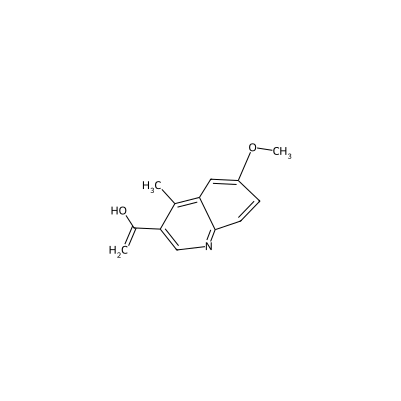 C=C(O)c1cnc2ccc(OC)cc2c1C